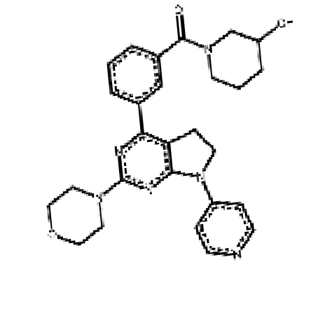 O=C(c1cccc(-c2nc(N3CCOCC3)nc3c2CCN3c2ccncc2)c1)N1CCCC(O)C1